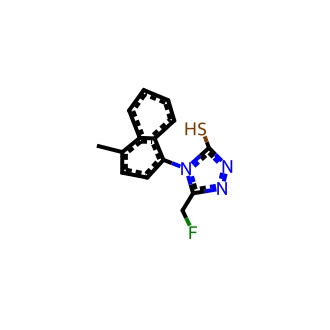 Cc1ccc(-n2c(S)nnc2CF)c2ccccc12